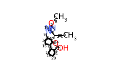 CC#CCc1nc(OCC)nn1Cc1ccc(-c2ccccc2C(=O)O)cc1